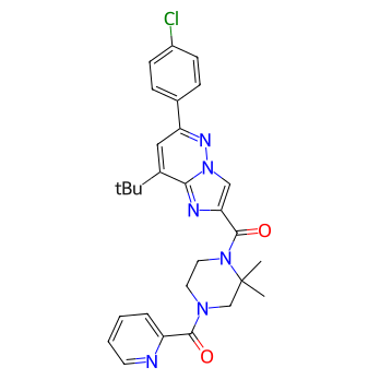 CC(C)(C)c1cc(-c2ccc(Cl)cc2)nn2cc(C(=O)N3CCN(C(=O)c4ccccn4)CC3(C)C)nc12